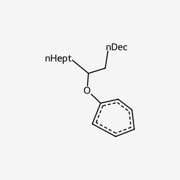 CCCCCCCCCCCC(CCCCCCC)Oc1ccccc1